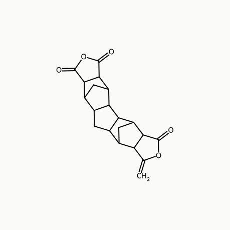 C=C1OC(=O)C2C3CC(C4CC5C6CC(C7C(=O)OC(=O)C67)C5C43)C12